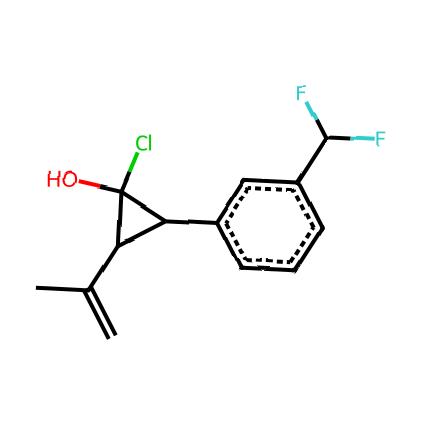 C=C(C)C1C(c2cccc(C(F)F)c2)C1(O)Cl